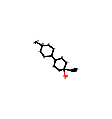 C#CC1(O)CCC(C2CCC(CCC)CC2)CC1